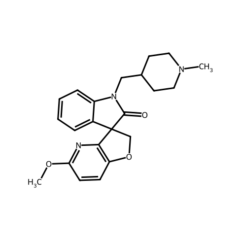 COc1ccc2c(n1)C1(CO2)C(=O)N(CC2CCN(C)CC2)c2ccccc21